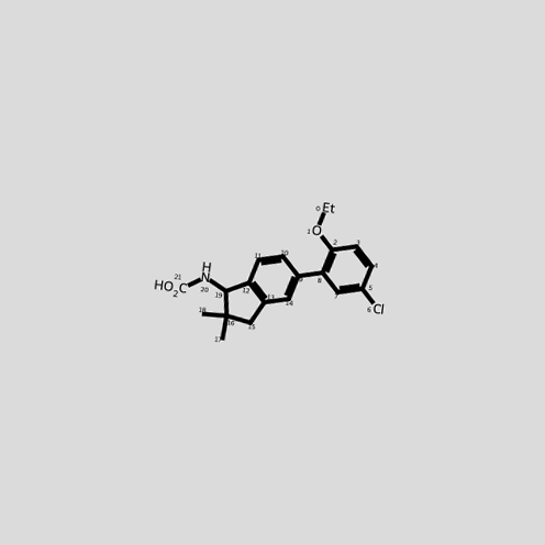 CCOc1ccc(Cl)cc1-c1ccc2c(c1)CC(C)(C)C2NC(=O)O